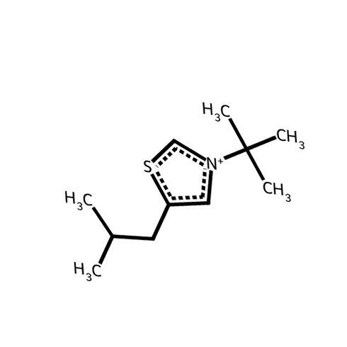 CC(C)Cc1c[n+](C(C)(C)C)cs1